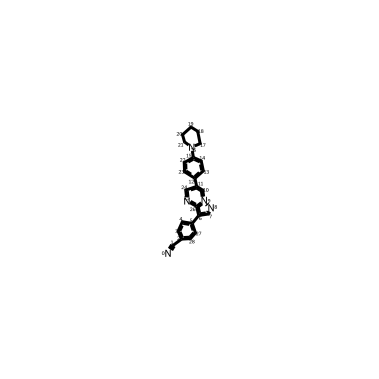 N#Cc1ccc(-c2cnn3cc(-c4ccc(N5CCCCC5)cc4)cnc23)cc1